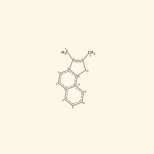 CC1=C(C)c2ccc3ccccc3c2C1